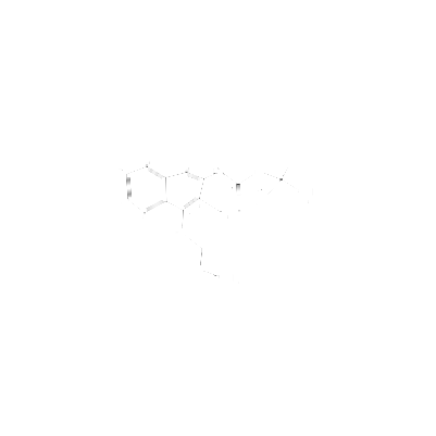 COCOc1c(I)c(NC(=O)OC(C)(C)C)cc2ccccc12